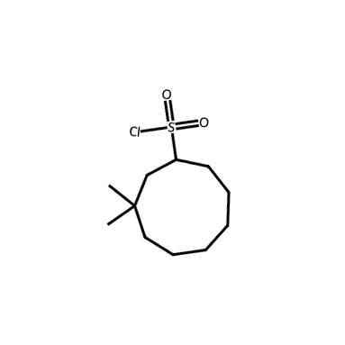 CC1(C)CCCCCCC(S(=O)(=O)Cl)C1